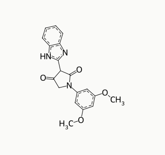 COc1cc(OC)cc(N2CC(=O)C(c3nc4ccccc4[nH]3)C2=O)c1